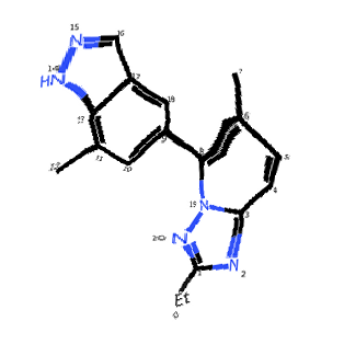 CCc1nc2ccc(C)c(-c3cc(C)c4[nH]ncc4c3)n2n1